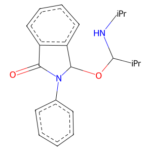 CC(C)NC(OC1c2ccccc2C(=O)N1c1ccccc1)C(C)C